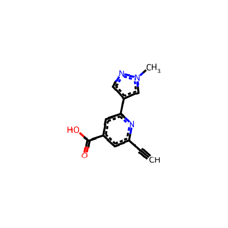 C#Cc1cc(C(=O)O)cc(-c2cnn(C)c2)n1